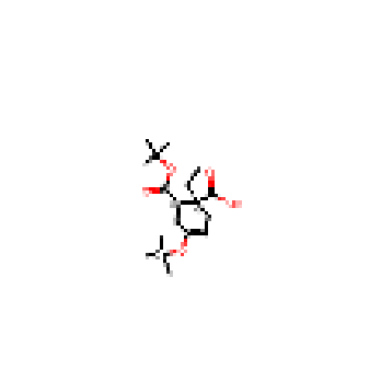 CC[C@@]1(C(=O)O)CC=C(O[Si](C)(C)C)C[C@H]1C(=O)OC(C)(C)C